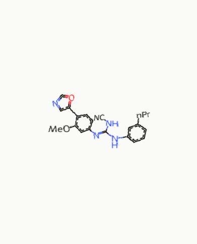 CCCc1cccc(NC(=Nc2ccc(-c3cnco3)c(OC)c2)NC#N)c1